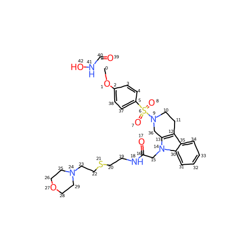 COc1ccc(S(=O)(=O)N2CCc3c(n(CC(=O)NCCSCCN4CCOCC4)c4ccccc34)C2)cc1.O=CNO